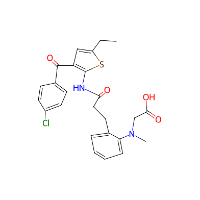 CCc1cc(C(=O)c2ccc(Cl)cc2)c(NC(=O)CCc2ccccc2N(C)CC(=O)O)s1